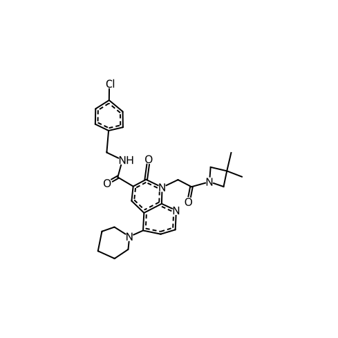 CC1(C)CN(C(=O)Cn2c(=O)c(C(=O)NCc3ccc(Cl)cc3)cc3c(N4CCCCC4)ccnc32)C1